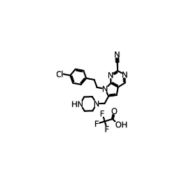 N#Cc1ncc2cc(CN3CCNCC3)n(CCc3ccc(Cl)cc3)c2n1.O=C(O)C(F)(F)F